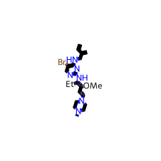 C=CC(=C)CNc1nc(N/C(CC)=C(/C=C/N2CCN(C)CC2)OC)ncc1Br